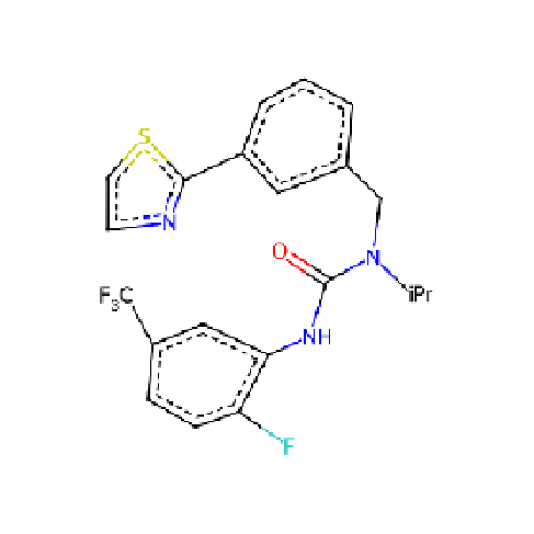 CC(C)N(Cc1cccc(-c2nccs2)c1)C(=O)Nc1cc(C(F)(F)F)ccc1F